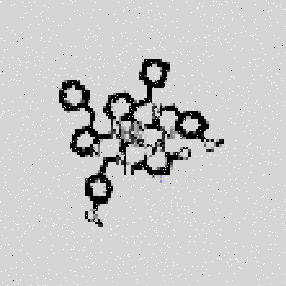 COc1ccc(CN=C(NOC(=O)/C=C\C(=O)ONC(=NCc2ccc(OC)cc2)Nc2ncccc2Cc2ccccc2)Nc2ncccc2Cc2ccccc2)cc1